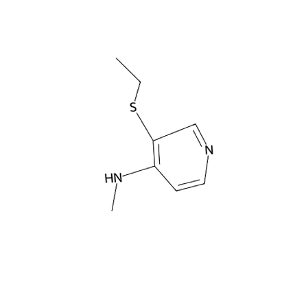 CCSc1cnccc1NC